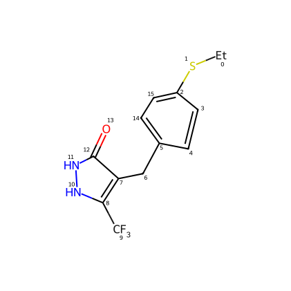 CCSc1ccc(Cc2c(C(F)(F)F)[nH][nH]c2=O)cc1